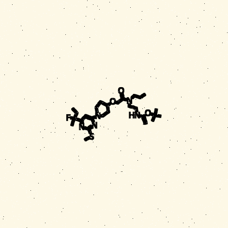 C=C(NCCN(CCC)C(=O)COC1CCN(c2cc(C(C)(F)CC)nc(SC)n2)CC1)OC(C)(C)C